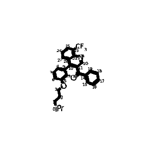 CC(C)CCCOc1cccc(-c2c(C(=O)c3ccccc3)cnc3c(C(F)(F)F)cccc23)c1